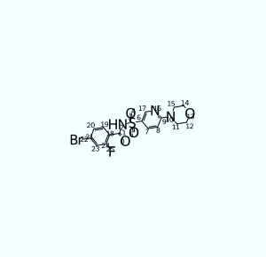 O=C(NS(=O)(=O)c1ccc(N2CCOCC2)nc1)c1ccc(Br)cc1F